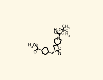 COC(=O)[C@H]1CC[C@@H](CN2CC3(CCN(C(=O)OC(C)(C)C)CC3)OC2=O)CC1